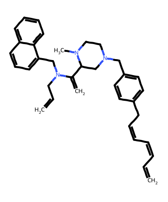 C=C/C=C\C=C/Cc1ccc(CN2CCN(C)C(C(=C)N(CC=C)Cc3cccc4ccccc34)C2)cc1